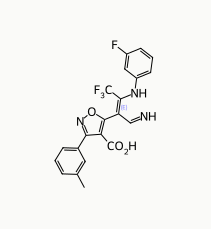 Cc1cccc(-c2noc(/C(C=N)=C(/Nc3cccc(F)c3)C(F)(F)F)c2C(=O)O)c1